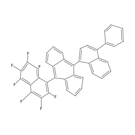 Fc1c(F)c(F)c2c(-c3c4ccccc4c(-c4ccc(-c5ccccc5)c5ccccc45)c4ccccc34)c(F)c(F)c(F)c2c1F